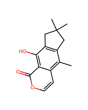 Cc1c2c(c(O)c3c(=O)occc13)CC(C)(C)C2